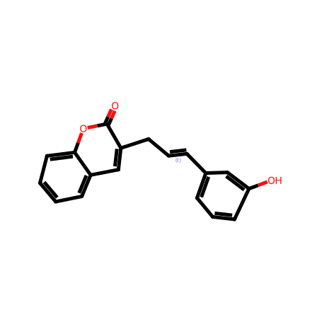 O=c1oc2ccccc2cc1C/C=C/c1cccc(O)c1